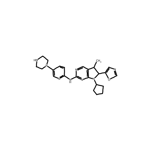 CC1c2cnc(Nc3ccc(N4CCNCC4)cn3)nc2N(C2CCCC2)C1c1cnco1